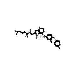 Cc1ccc(Oc2ccc(Nc3ncnc4cc(CNC(=O)C=CCN(C)C)[nH]c34)cc2C)cn1